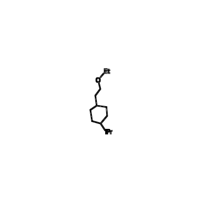 CCOCCC1CCC(C(C)C)CC1